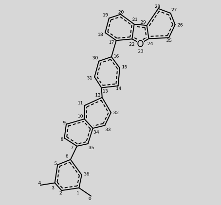 Cc1cc(C)cc(-c2ccc3cc(-c4ccc(-c5cccc6c5oc5ccccc56)cc4)ccc3c2)c1